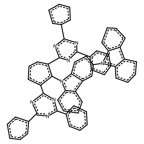 c1ccc(-c2nc(-c3ccccc3)nc(-c3cccc(-c4nc(-c5ccccc5)nc(-c5ccccc5)n4)c3-n3c4ccccc4c4cc(-n5c6ccccc6c6ccccc65)ccc43)n2)cc1